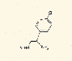 CC(=O)NCC(N)c1ccc(Cl)cc1